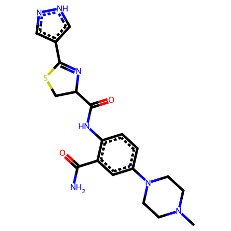 CN1CCN(c2ccc(NC(=O)C3CSC(c4cn[nH]c4)=N3)c(C(N)=O)c2)CC1